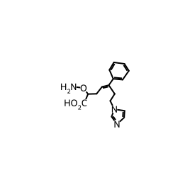 NOC(CC=C(CCn1ccnc1)c1ccccc1)C(=O)O